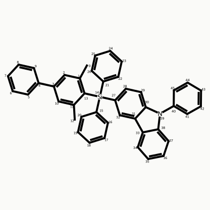 Cc1cc(-c2ccccc2)cc(C)c1[Si](c1ccccc1)(c1ccccc1)c1ccc2c(c1)c1ccccc1n2-c1ccccc1